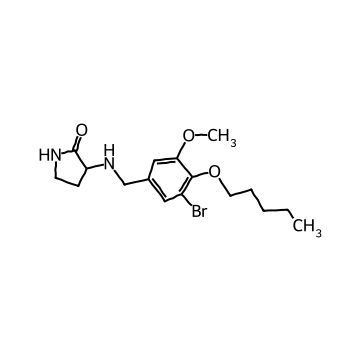 CCCCCOc1c(Br)cc(CNC2CCNC2=O)cc1OC